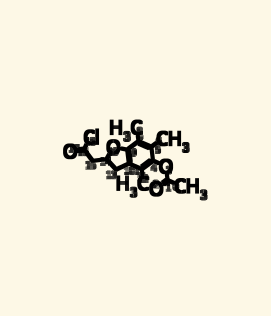 CC(=O)Oc1c(C)c(C)c2c(c1C)CC(CC(=O)Cl)O2